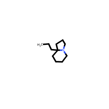 CCCC12CCCCN1CCC2